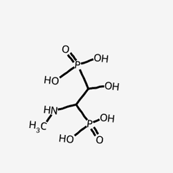 CNC(C(O)P(=O)(O)O)P(=O)(O)O